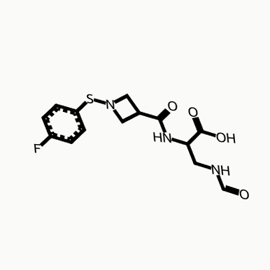 O=CNCC(NC(=O)C1CN(Sc2ccc(F)cc2)C1)C(=O)O